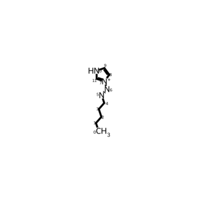 CCCCCN=N[n+]1cc[nH]c1